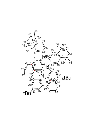 Cc1cc2c3c(c1)N(c1c(-c4ccccc4)cc(C(C)(C)C)cc1-c1ccccc1)c1ccc(C(C)(C)C)cc1B3c1cc3c(cc1N2c1ccc2c(c1)C(C)(C)CCC2(C)C)C(C)(C)CCC3(C)C